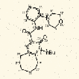 CCCCn1c2c(cc(C(=O)Nc3ccccc3N3CCOCC3)c1=O)CCCCCC2